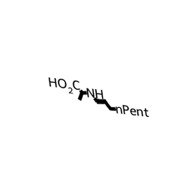 CCCCCCC=CNC(C)C(=O)O